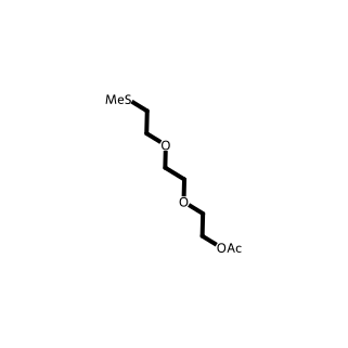 CSCCOCCOCCOC(C)=O